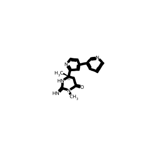 CN1C(=N)N[C@](C)(c2cc(-c3cccnc3)ccn2)CC1=O